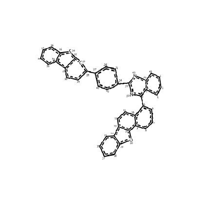 c1ccc2c(-c3cccc4c3ccc3c5ccccc5oc43)nc(-c3ccc(-c4ccc5c(c4)sc4ccccc45)cc3)nc2c1